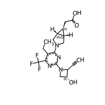 C#CC1[C@H](O)CN1c1nc(N2C[C@@H]3[C@@H](CC(=O)O)[C@@H]3C2)c(CC)c(C(F)(F)F)n1